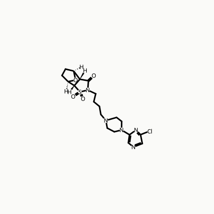 O=C1[C@@H]2[C@@H]([C@H]3CC[C@@H]2O3)S(=O)(=O)N1CCCCN1CCN(c2cncc(Cl)n2)CC1